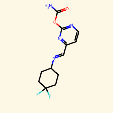 NC(=O)Oc1nccc(C=NC2CCC(F)(F)CC2)n1